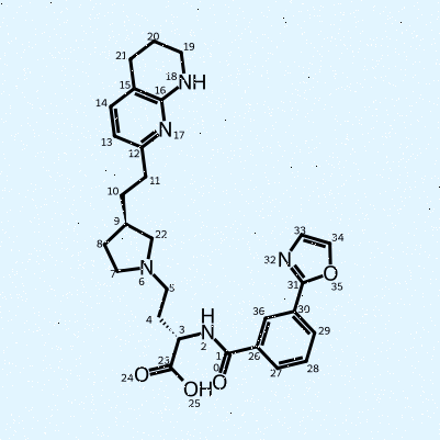 O=C(N[C@@H](CCN1CC[C@@H](CCc2ccc3c(n2)NCCC3)C1)C(=O)O)c1cccc(-c2ncco2)c1